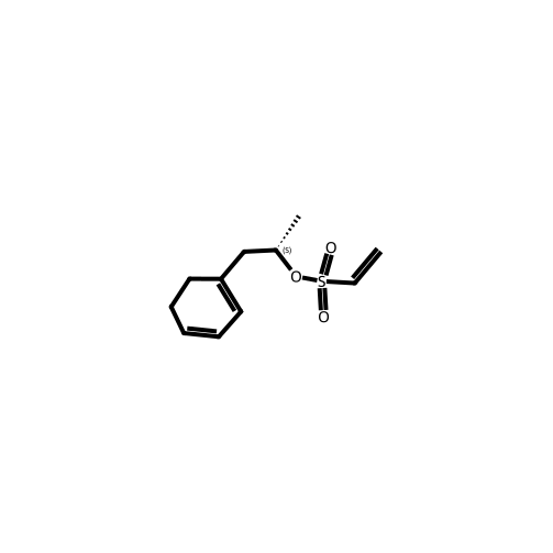 C=CS(=O)(=O)O[C@@H](C)CC1=CC=CCC1